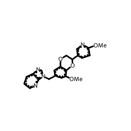 COc1ccc(C2COc3cc(Cn4cnc5cccnc54)cc(OC)c3O2)cn1